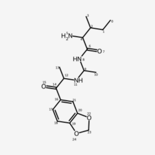 CCC(C)C(N)C(=O)NC(C)NC(C)C(=O)c1ccc2c(c1)OCO2